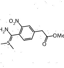 COC(=O)Cc1ccc(C(N)=S(C)C)c([N+](=O)[O-])c1